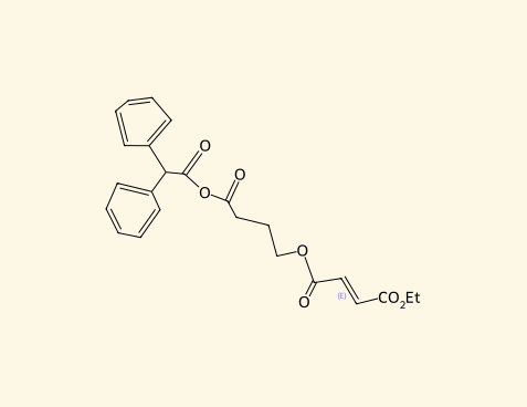 CCOC(=O)/C=C/C(=O)OCCCC(=O)OC(=O)C(c1ccccc1)c1ccccc1